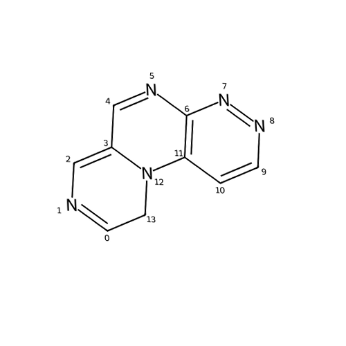 C1=NC=C2C=Nc3nnccc3N2C1